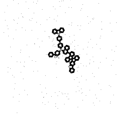 CC1(c2ccccc2)C=CC(N(c2ccc(C3=CC=C(n4c5ccccc5c5ccccc54)CC3)cc2)c2ccc(-c3cccc4c3-c3ccccc3C43c4ccccc4-c4cc5c(cc43)sc3ccccc35)c3ccccc23)CC1